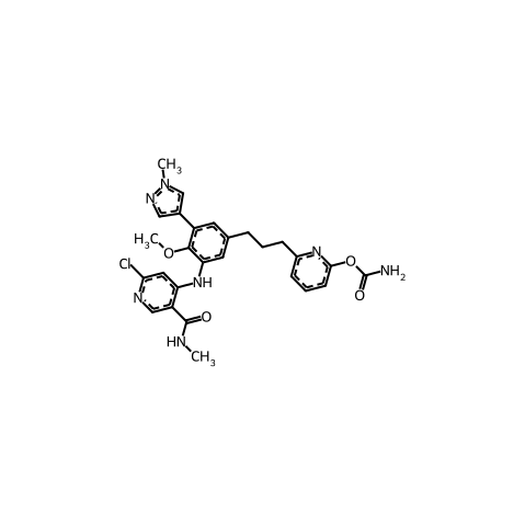 CNC(=O)c1cnc(Cl)cc1Nc1cc(CCCc2cccc(OC(N)=O)n2)cc(-c2cnn(C)c2)c1OC